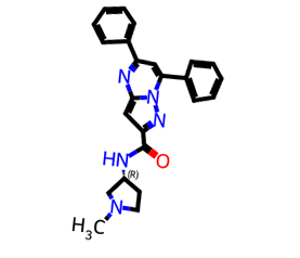 CN1CC[C@@H](NC(=O)c2cc3nc(-c4ccccc4)cc(-c4ccccc4)n3n2)C1